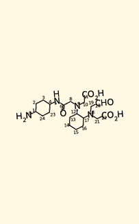 NC1CCC(NC(=O)CN(CC(=O)O)[C@@H]2CCCCC2N(CC=O)CC(=O)O)CC1